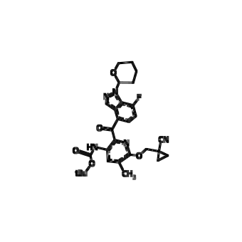 Cc1cc(NC(=O)OC(C)(C)C)c(C(=O)c2ccc(F)c3c2cnn3C2CCCCO2)nc1OCC1(C#N)CC1